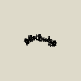 Cl.Cl.N=C(NCCCN1CCN(CCCNC(=N)NC(=O)NC23CC4CC(CC(C4)C2)C3)CC1)NC(=O)NC12CC3CC(CC(C3)C1)C2